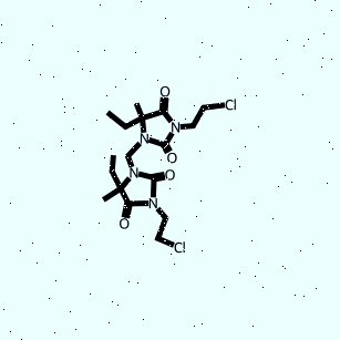 CCC1(C)C(=O)N(CCCl)C(=O)N1CN1C(=O)N(CCCl)C(=O)C1(C)CC